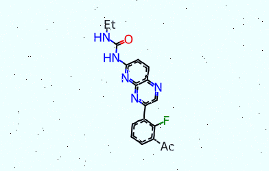 CCNC(=O)Nc1ccc2ncc(-c3cccc(C(C)=O)c3F)nc2n1